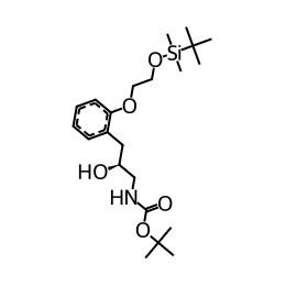 CC(C)(C)OC(=O)NC[C@@H](O)Cc1ccccc1OCCO[Si](C)(C)C(C)(C)C